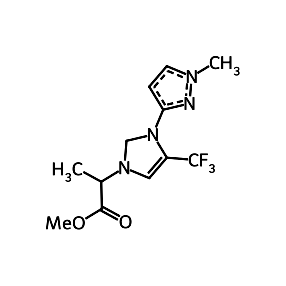 COC(=O)C(C)N1C=C(C(F)(F)F)N(c2ccn(C)n2)C1